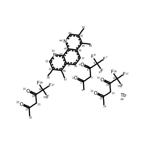 CC(=O)CC(=O)C(F)(F)F.CC(=O)CC(=O)C(F)(F)F.CC(=O)CC(=O)C(F)(F)F.Cc1cnc2c(ccc3c(C)c(C)cnc32)c1C.[Tb]